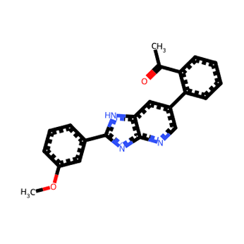 COc1cccc(-c2nc3ncc(-c4ccccc4C(C)=O)cc3[nH]2)c1